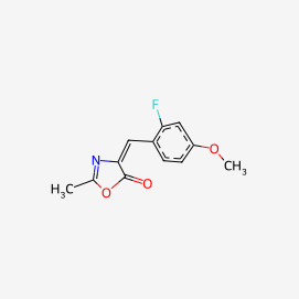 COc1ccc(/C=C2/N=C(C)OC2=O)c(F)c1